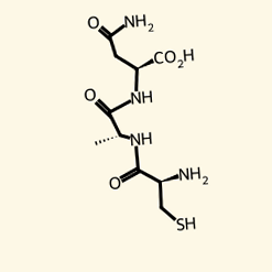 C[C@@H](NC(=O)[C@@H](N)CS)C(=O)N[C@@H](CC(N)=O)C(=O)O